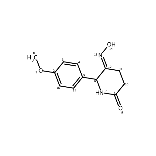 COc1ccc(C2NC(=O)CCC2=NO)cc1